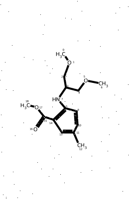 COCC(COC)Nc1ccc(C)cc1C(=O)OC